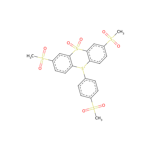 CS(=O)(=O)c1ccc([S+]2c3ccc(S(C)(=O)=O)cc3S(=O)(=O)c3cc(S(C)(=O)=O)ccc32)cc1